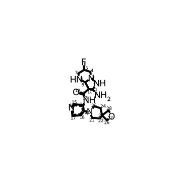 NC1NN2CC(F)CNC2C1C(=O)Nc1cnccc1N1CCC2(CC1)COC2